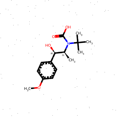 COc1ccc([C@@H](O)[C@H](C)N(C(=O)O)C(C)(C)C)cc1